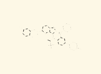 CN1CCC(c2ccc(N(C(=O)C(F)(F)F)c3n[nH]c4ccc([S+]([O-])Cc5cc(F)ccc5F)nc34)c(NC3CCOCC3)c2)CC1